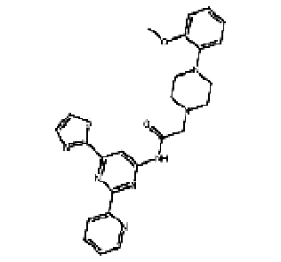 COc1ccccc1N1CCN(CC(=O)Nc2cc(-c3nccs3)nc(-c3ccccn3)n2)CC1